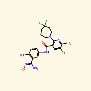 Cc1ccc(NC(=O)c2cc(Cl)c(C)nc2N2CCCC(F)(F)CC2)cc1C(N)=NO